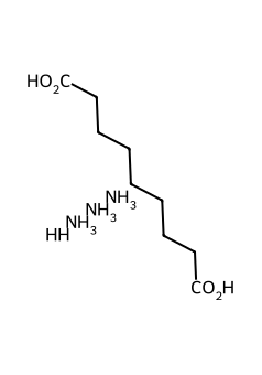 N.N.N.O=C(O)CCCCCCCC(=O)O.[HH]